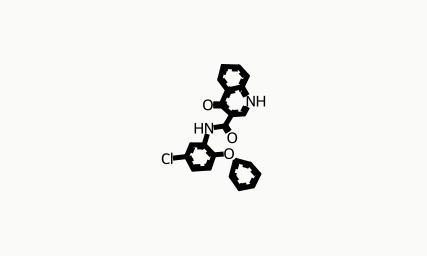 O=C(Nc1cc(Cl)ccc1Oc1ccccc1)c1c[nH]c2ccccc2c1=O